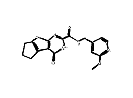 COc1cc(CNC(=O)c2nc3sc4c(c3c(=O)[nH]2)CCC4)ccn1